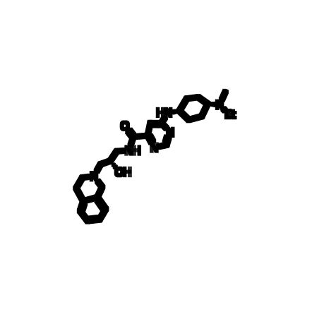 CCN(C)[C@H]1CC[C@@H](Nc2cc(C(=O)NC[C@H](O)CN3CCc4ccccc4C3)ncn2)CC1